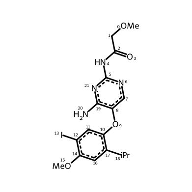 COCC(=O)Nc1ncc(Oc2cc(I)c(OC)cc2C(C)C)c(N)n1